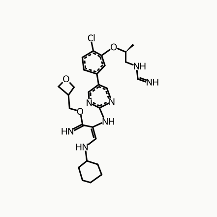 C[C@@H](CNC=N)Oc1cc(-c2cnc(N/C(=C/NC3CCCCC3)C(=N)OCC3COC3)nc2)ccc1Cl